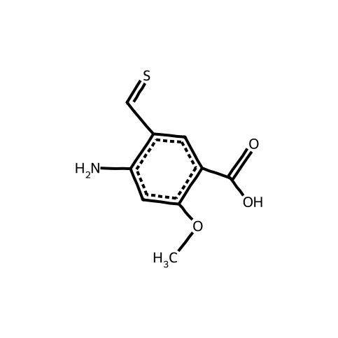 COc1cc(N)c(C=S)cc1C(=O)O